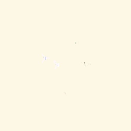 CN=C(c1cccc(Cl)c1CCc1cc(Br)ccc1OC)N(C)C